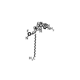 CCCCCCCCCCCCCCCCCC[C@@H](COP(=O)(O)OCC(C#N)(OC)[C@@H](O)[C@@H](O)c1ccc2c(N)ncnn12)OCc1cc(F)cc(C#N)c1